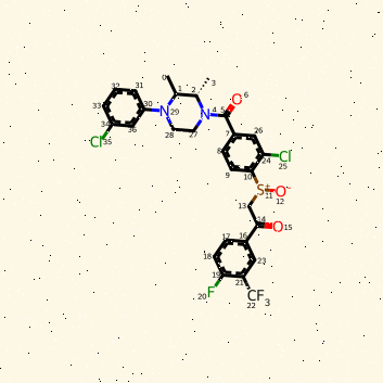 CC1[C@H](C)N(C(=O)c2ccc([S+]([O-])CC(=O)c3ccc(F)c(C(F)(F)F)c3)c(Cl)c2)CCN1c1cccc(Cl)c1